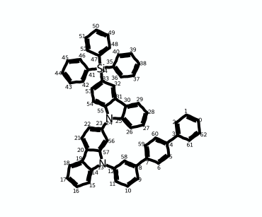 c1ccc(-c2ccc(-c3cccc(-n4c5ccccc5c5ccc(-n6c7ccccc7c7cc([Si](c8ccccc8)(c8ccccc8)c8ccccc8)ccc76)cc54)c3)cc2)cc1